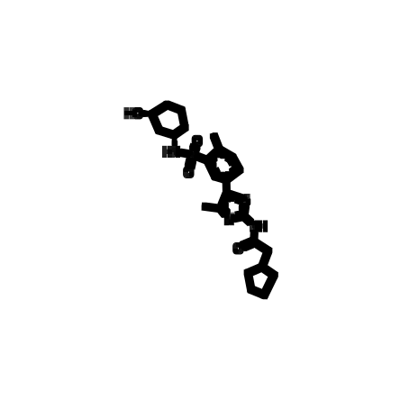 Cc1ccc(-c2sc(NC(=O)CC3CCCC3)nc2C)cc1S(=O)(=O)N[C@H]1CCC[C@H](O)C1